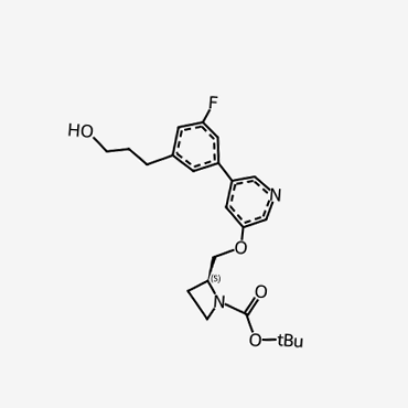 CC(C)(C)OC(=O)N1CC[C@H]1COc1cncc(-c2cc(F)cc(CCCO)c2)c1